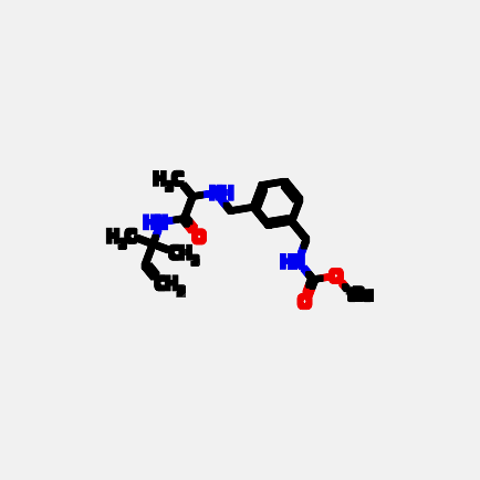 C=CC(C)(C)NC(=O)C(C)NCc1cccc(CNC(=O)OC(C)(C)C)c1